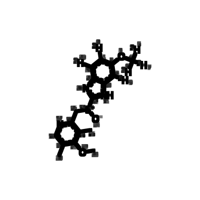 [2H]c1c(OC([2H])([2H])[2H])c([2H])c2[nH]c([S+]([O-])Cc3ncc(C)c(OC)c3C)nc2c1[2H]